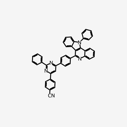 N#Cc1ccc(-c2cc(-c3ccc(-c4nc5ccccc5c5c4c4ccccc4n5-c4ccccc4)cc3)nc(-c3ccccc3)n2)cc1